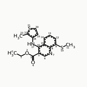 CCOC(=O)c1cnc2c(SC)cccc2c1Nc1ccsc1C